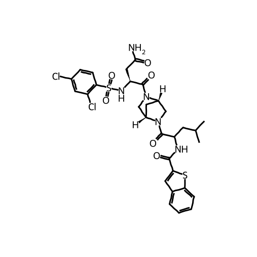 CC(C)CC(NC(=O)c1cc2ccccc2s1)C(=O)N1C[C@@H]2C[C@H]1CN2C(=O)[C@H](CC(N)=O)NS(=O)(=O)c1ccc(Cl)cc1Cl